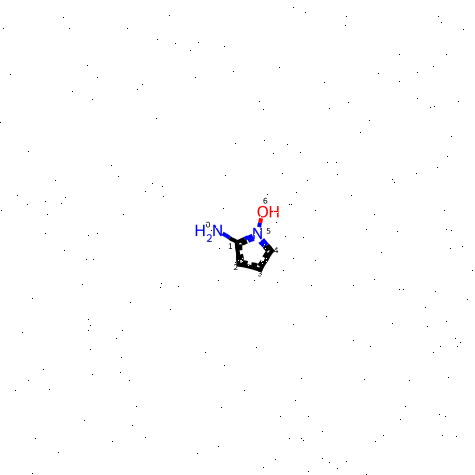 Nc1cccn1O